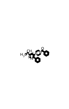 CN(C)c1cc(N2CCN(C(=O)c3ccccc3)CC2)c(-c2ccccc2)nn1